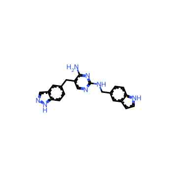 Nc1nc(NCc2ccc3[nH]ccc3c2)ncc1Cc1ccc2[nH]ncc2c1